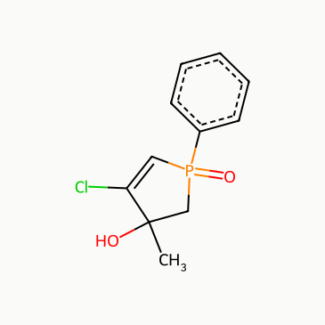 CC1(O)CP(=O)(c2ccccc2)C=C1Cl